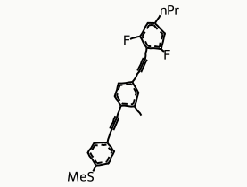 CCCc1cc(F)c(C#Cc2ccc(C#Cc3ccc(SC)cc3)c(C)c2)c(F)c1